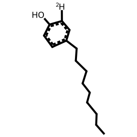 [2H]c1cc(CCCCCCCCC)ccc1O